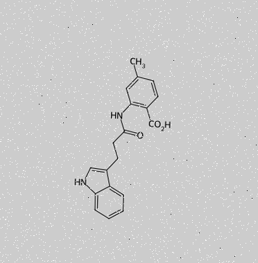 Cc1ccc(C(=O)O)c(NC(=O)CCc2c[nH]c3ccccc23)c1